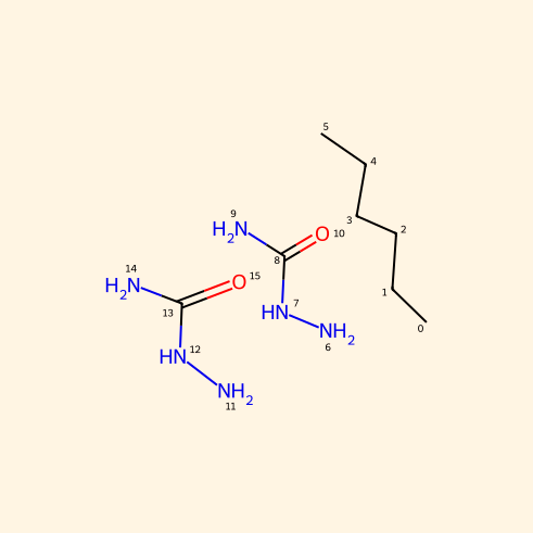 CCCCCC.NNC(N)=O.NNC(N)=O